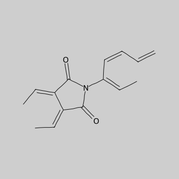 C=C/C=C\C(=C/C)N1C(=O)C(=C/C)/C(=C\C)C1=O